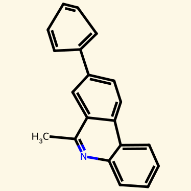 Cc1nc2ccccc2c2ccc(-c3ccccc3)cc12